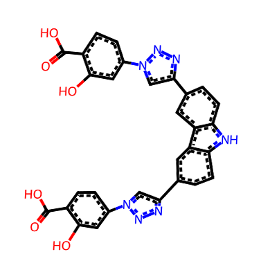 O=C(O)c1ccc(-n2cc(-c3ccc4[nH]c5ccc(-c6cn(-c7ccc(C(=O)O)c(O)c7)nn6)cc5c4c3)nn2)cc1O